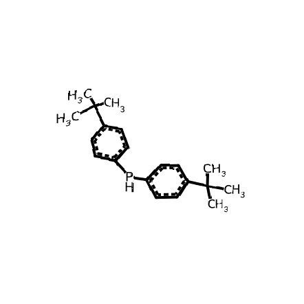 CC(C)(C)c1ccc(Pc2ccc(C(C)(C)C)cc2)cc1